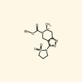 C[C@H]1Cc2noc(N3CCCS3(=O)=O)c2CN1C(=O)OC(C)(C)C